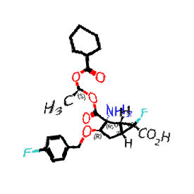 C[C@@H](OC(=O)C1CCCCC1)OC(=O)[C@@]1(N)[C@H]2[C@@H](C[C@H]1OCc1ccc(F)cc1)[C@]2(F)C(=O)O